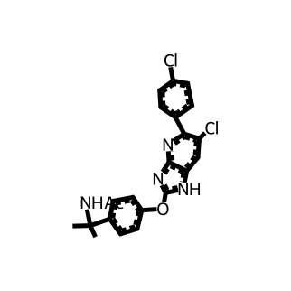 CC(=O)NC(C)(C)c1ccc(Oc2nc3nc(-c4ccc(Cl)cc4)c(Cl)cc3[nH]2)cc1